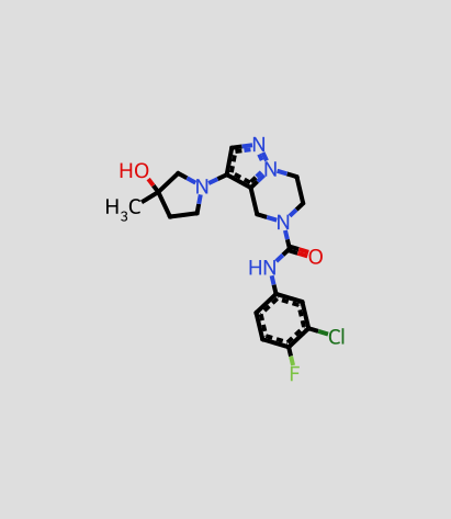 CC1(O)CCN(c2cnn3c2CN(C(=O)Nc2ccc(F)c(Cl)c2)CC3)C1